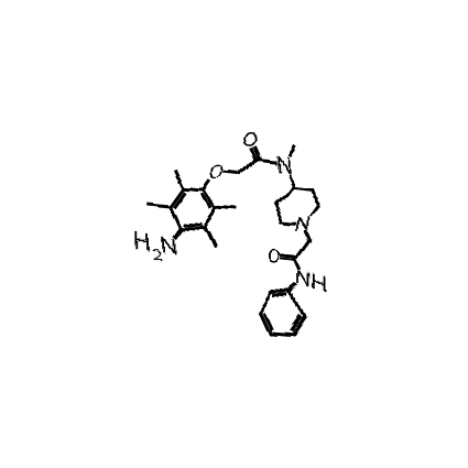 Cc1c(C)c(OCC(=O)N(C)C2CCN(CC(=O)Nc3ccccc3)CC2)c(C)c(C)c1N